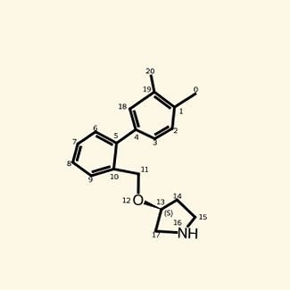 Cc1ccc(-c2ccccc2CO[C@H]2CCNC2)cc1C